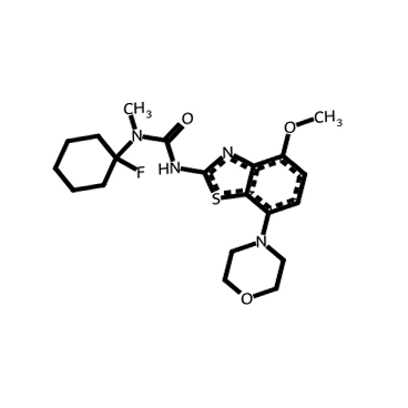 COc1ccc(N2CCOCC2)c2sc(NC(=O)N(C)C3(F)CCCCC3)nc12